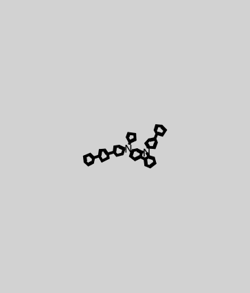 C1=CC(N(C2=CC=C(C3=CC=C(c4ccccc4)CC3)CC2)c2ccc3c4ccccc4n(-c4ccc(-c5ccccc5)cc4)c3c2)=CC1